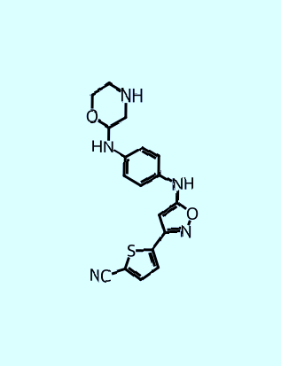 N#Cc1ccc(-c2cc(Nc3ccc(NC4CNCCO4)cc3)on2)s1